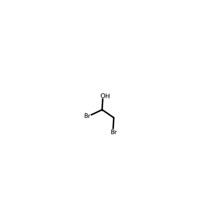 O[C](Br)CBr